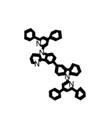 c1ccc(-c2cc(-c3ccccc3)nc(-n3c4ccccc4c4cc(-c5ccc6c(c5)c5ncccc5n6-c5cc(-c6ccccc6)cc(-c6ccccc6)n5)ccc43)c2)cc1